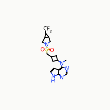 CN(c1ncnc2[nH]ccc12)C1CC(CS(=O)(=O)N2CC3C(C2)C3C(F)(F)F)C1